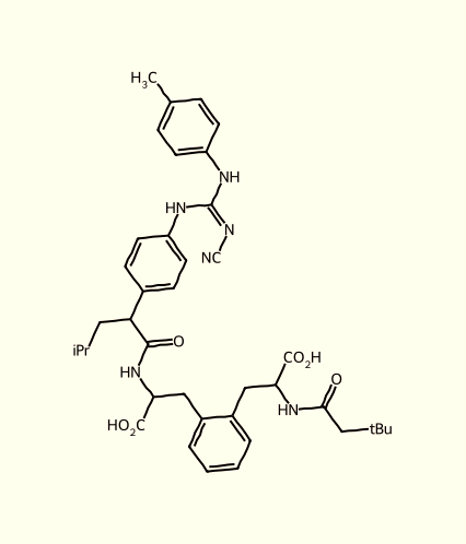 Cc1ccc(NC(=NC#N)Nc2ccc(C(CC(C)C)C(=O)NC(Cc3ccccc3CC(NC(=O)CC(C)(C)C)C(=O)O)C(=O)O)cc2)cc1